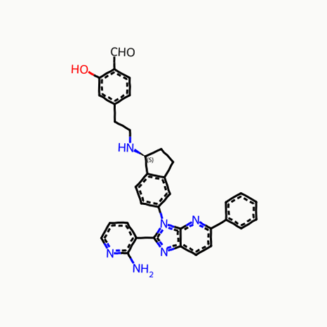 Nc1ncccc1-c1nc2ccc(-c3ccccc3)nc2n1-c1ccc2c(c1)CC[C@@H]2NCCc1ccc(C=O)c(O)c1